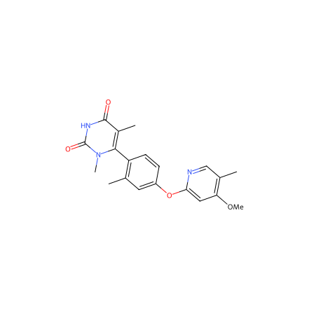 COc1cc(Oc2ccc(-c3c(C)c(=O)[nH]c(=O)n3C)c(C)c2)ncc1C